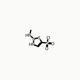 CNN1NC=C(S(=O)(=O)Cl)S1